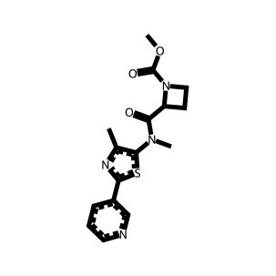 COC(=O)N1CCC1C(=O)N(C)c1sc(-c2cccnc2)nc1C